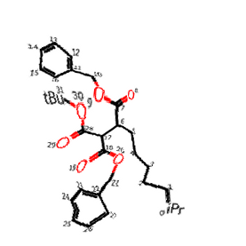 CC(C)CCCCCC(C(=O)OCc1ccccc1)C(C(=O)OCc1ccccc1)C(=O)OC(C)(C)C